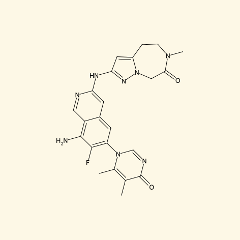 Cc1c(C)n(-c2cc3cc(Nc4cc5n(n4)CC(=O)N(C)CC5)ncc3c(N)c2F)cnc1=O